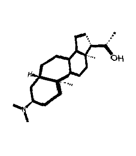 C[C@H](O)[C@H]1CCC2C3CC[C@H]4C[C@H](N(C)C)CC[C@]4(C)C3CC[C@@]21C